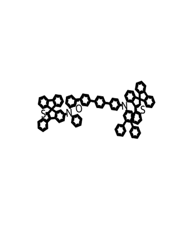 c1ccc(-c2ccc(N(c3ccc(-c4ccc(-c5ccc6c(c5)oc5c(N(c7ccccc7)c7ccc8c(c7)C7(c9ccccc9-c9ccccc97)c7sc9ccccc9c7-8)cccc56)cc4)cc3)c3cccc4c3-c3c(sc5ccccc35)C43c4ccccc4-c4ccccc43)cc2-c2ccccc2)cc1